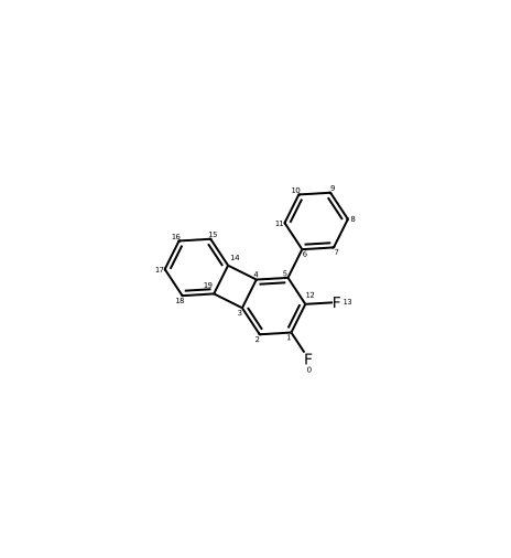 Fc1cc2c(c(-c3ccccc3)c1F)-c1ccccc1-2